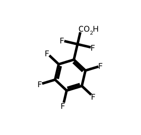 O=C(O)C(F)(F)c1c(F)c(F)c(F)c(F)c1F